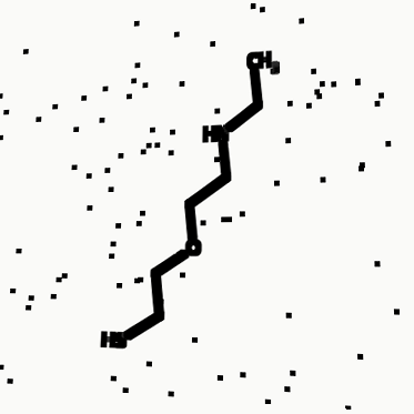 CCNCCOCCS